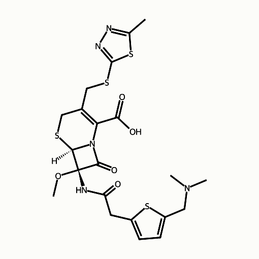 CO[C@@]1(NC(=O)Cc2ccc(CN(C)C)s2)C(=O)N2C(C(=O)O)=C(CSc3nnc(C)s3)CS[C@@H]21